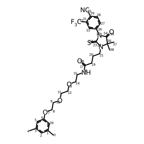 Cc1cc(C)cc(OCCOCCOCCNC(=O)CCCN2C(=S)N(c3ccc(C#N)c(C(F)(F)F)c3)C(=O)C2(C)C)c1